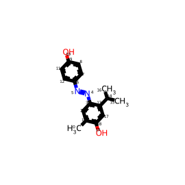 Cc1cc(/N=N/c2ccc(O)cc2)c(C(C)C)cc1O